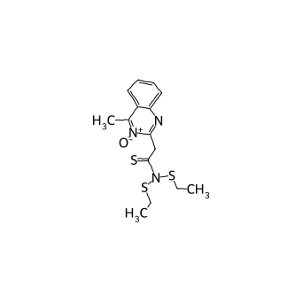 CCSN(SCC)C(=S)Cc1nc2ccccc2c(C)[n+]1[O-]